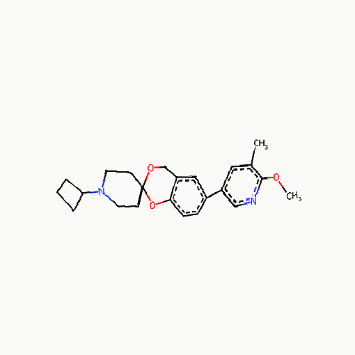 COc1ncc(-c2ccc3c(c2)COC2(CCN(C4CCC4)CC2)O3)cc1C